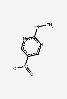 CNc1ncc([N+](=O)[O-])cn1